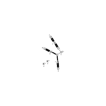 O=[Si]=O.[K+].[K+].[O-2].[O]=[Al][O][Al]=[O]